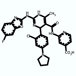 CC1=C(C(=O)Nc2cc(C(=O)O)ccn2)C(c2ccc(N3CCCC3)cc2Cl)N=C(Nc2nc3ccc(F)cc3o2)N1